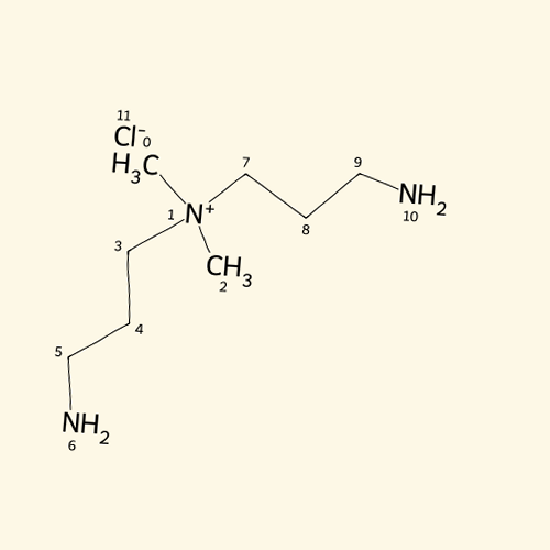 C[N+](C)(CCCN)CCCN.[Cl-]